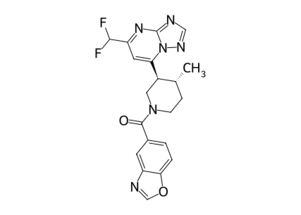 C[C@@H]1CCN(C(=O)c2ccc3ocnc3c2)C[C@H]1c1cc(C(F)F)nc2ncnn12